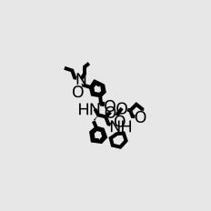 CCCN(CCC)C(=O)c1cccc(C(=O)N[C@@H](Cc2ccccc2)C(CNC2CCCCC2)OC(=O)OC2CCOC2)c1